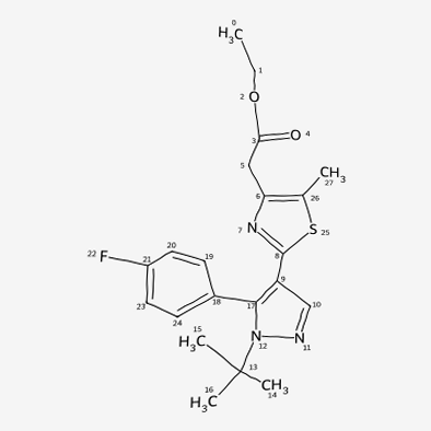 CCOC(=O)Cc1nc(-c2cnn(C(C)(C)C)c2-c2ccc(F)cc2)sc1C